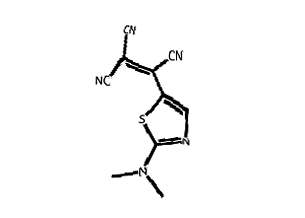 CN(C)c1ncc(C(C#N)=C(C#N)C#N)s1